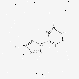 Ic1ccn(-c2cccnc2)n1